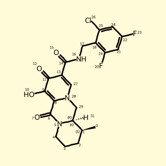 C[C@H]1CCCN2C(=O)c3c(O)c(=O)c(C(=O)NCc4c(F)cc(F)cc4Cl)cn3C[C@@H]12